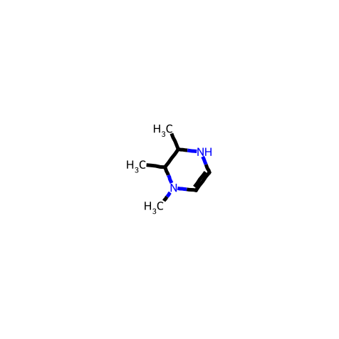 CC1NC=CN(C)C1C